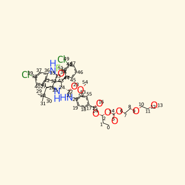 CCC(OC(=O)OCCOCCOC)OC(=O)c1ccc(NC(=O)[C@@H]2N[C@@H](CC(C)(C)C)C3(C(=O)Nc4cc(Cl)ccc43)[C@H]2c2cccc(Cl)c2F)c(OC)c1